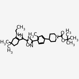 CCn1nc(-c2nc(-c3ccc(C4CCN(C(=O)OC(C)(C)C)CC4)cc3C)no2)c2c1CC(C)(C)CC2